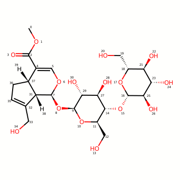 COC(=O)C1=CO[C@@H](O[C@@H]2O[C@H](CO)[C@@H](O[C@@H]3O[C@H](CO)[C@@H](O)[C@H](O)[C@H]3O)[C@H](O)[C@H]2O)[C@@H]2C(CO)=CC[C@H]12